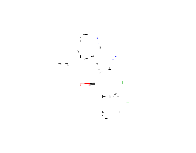 C=Cc1ccnc2[nH]cc(C(=O)c3cccc(Cl)c3Cl)c12